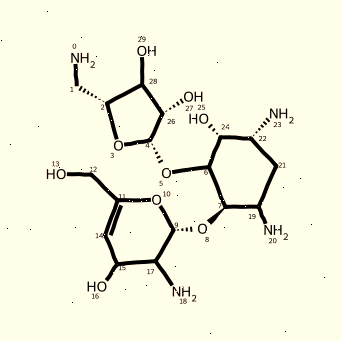 NC[C@H]1O[C@@H](OC2[C@H](O[C@H]3OC(CO)=CC(O)C3N)C(N)C[C@@H](N)[C@H]2O)[C@@H](O)C1O